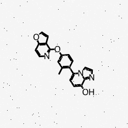 Cc1cc(Oc2nccc3occc23)ccc1-c1ccc(O)c2nccn12